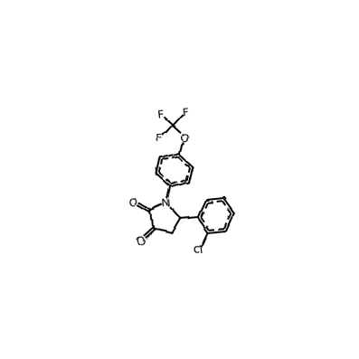 O=C1CC(c2ccccc2Cl)N(c2ccc(OC(F)(F)F)cc2)C1=O